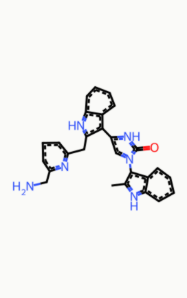 Cc1[nH]c2ccccc2c1-n1cc(-c2c(Cc3cccc(CN)n3)[nH]c3ccccc23)[nH]c1=O